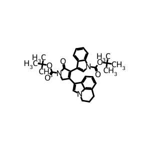 CC(C)(C)OC(=O)N1CC(c2cn3c4c(cccc24)CCC3)=C(c2cn(C(=O)OC(C)(C)C)c3ccccc23)C1=O